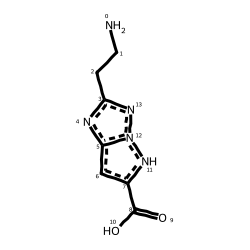 NCCc1nc2cc(C(=O)O)[nH]n2n1